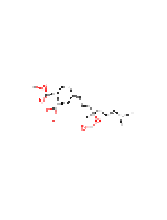 COC(=O)C1CCC(CCCC(C)(CCCC(C)C)OC(C)=O)CC1C(=O)OC